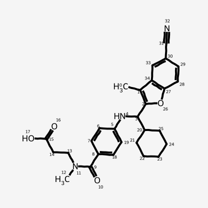 Cc1c(C(Nc2ccc(C(=O)N(C)CCC(=O)O)cc2)C2CCCCC2)oc2ccc(C#N)cc12